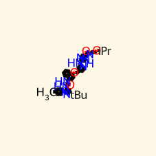 Cc1ccc(-n2nc(C(C)(C)C)cc2NC(=O)Nc2ccc(OCc3ccnc(Nc4cnc(C(=O)NCCOC(C)C)cn4)c3)c3ccccc23)cc1